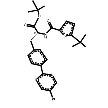 CC(C)(C)OC(=O)[C@@H](Cc1ccc(-c2ncc(Br)cn2)cc1)NC(=O)c1ccc(C(C)(C)C)s1